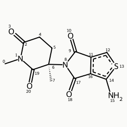 CN1C(=O)CC[C@@](C)(N2C(=O)c3csc(N)c3C2=O)C1=O